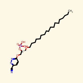 CCCCCCCCCCCCCCCCCCOC[C@H](COc1ccc(C#N)nn1)OP(=O)(O)O